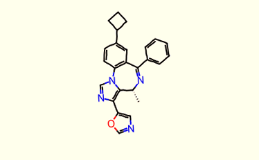 C[C@H]1N=C(c2ccccc2)c2cc(C3CCC3)ccc2-n2cnc(-c3cnco3)c21